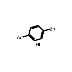 CC(=O)c1cc[c]([Zn])cc1.I